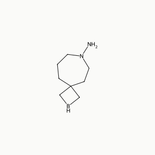 NN1CCCC2(CBC2)CC1